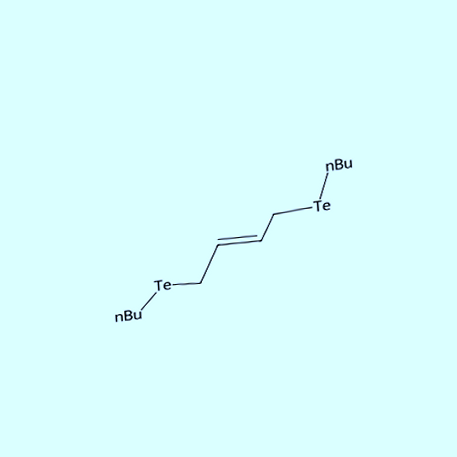 CCCC[Te]C/C=C/C[Te]CCCC